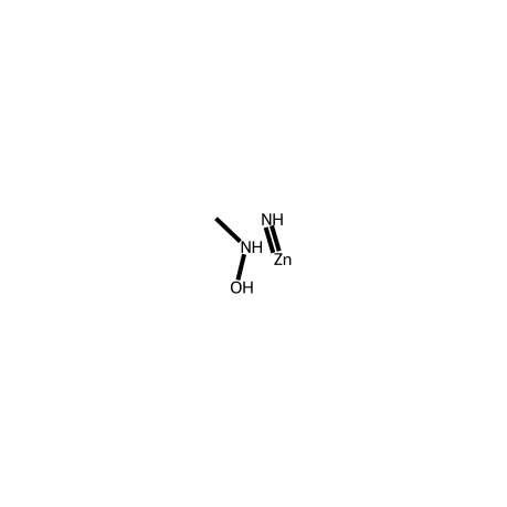 CNO.[NH]=[Zn]